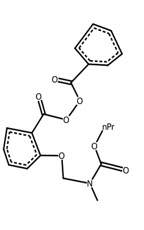 CCCOC(=O)N(C)COc1ccccc1C(=O)OOC(=O)c1ccccc1